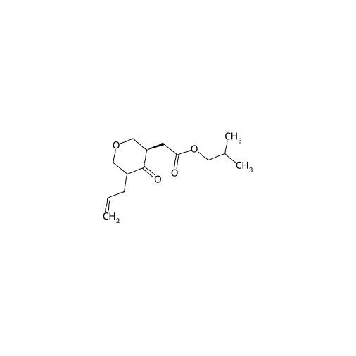 C=CCC1COC[C@@H](CC(=O)OCC(C)C)C1=O